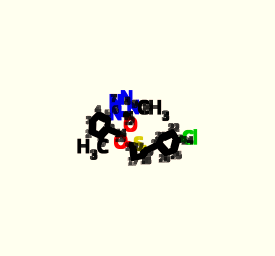 Cc1cccc(-n2nnn(C)c2=O)c1COc1ccc(-c2ccc(Cl)cc2)s1